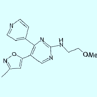 COCCNc1ncc(-c2cc(C)no2)c(-c2ccncc2)n1